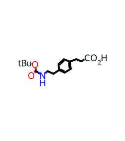 CC(C)(C)OC(=O)NCCc1ccc(CCC(=O)O)cc1